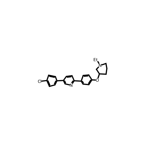 CCN1CCCC(Oc2ccc(-c3ccc(-c4ccc(Cl)cc4)cn3)cc2)C1